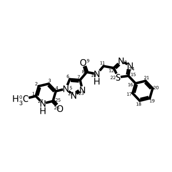 Cc1ccc(-n2cc(C(=O)NCc3nnc(-c4ccccc4)s3)nn2)c(=O)[nH]1